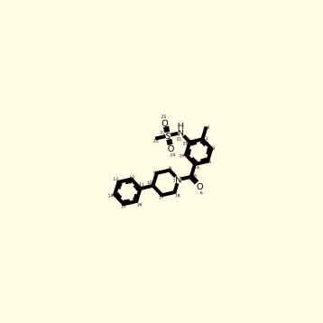 Cc1ccc(C(=O)N2CCC(c3cc[c]cc3)CC2)cc1NS(C)(=O)=O